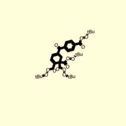 CC(C)(C)OOC(=O)C1=CC=C(C(=O)c2ccc(C(=O)OOC(C)(C)C)cc2)CC1(C(=O)OOC(C)(C)C)C(=O)OOC(C)(C)C